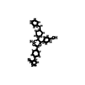 CC(C(OC(=O)c1ccc(-c2cssc2=S)cc1)c1ccc(O)cc1)N1CCC(Cc2ccccc2)CC1